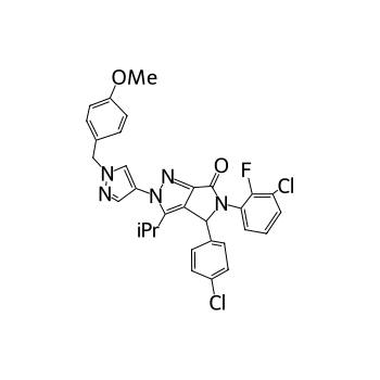 COc1ccc(Cn2cc(-n3nc4c(c3C(C)C)C(c3ccc(Cl)cc3)N(c3cccc(Cl)c3F)C4=O)cn2)cc1